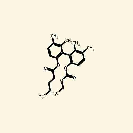 CCCCC(=O)Oc1ccc(C)c(C)c1-c1c(OC(=O)OCC)ccc(C)c1C